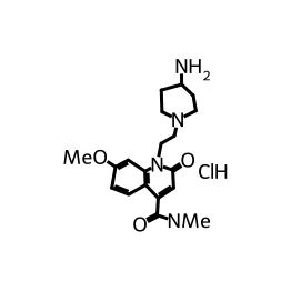 CNC(=O)c1cc(=O)n(CCN2CCC(N)CC2)c2cc(OC)ccc12.Cl